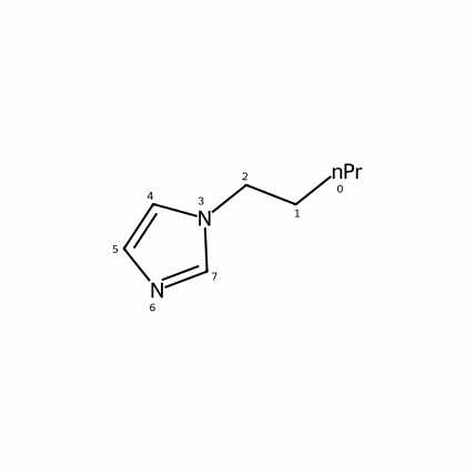 [CH2]CCCCn1ccnc1